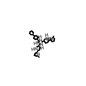 Cc1cccc(C2C=CC(C3NC(C4=CC=C(C5=CC=CC(C)N5)NC4)NC(c4ccc(C5C=CC=CC5)cc4)N3)=CN2)n1